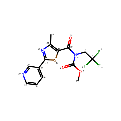 COC(=O)N(CC(F)(F)F)C(=O)c1sc(-c2cccnc2)nc1C